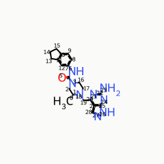 C[C@H]1CN(C(=O)Nc2ccc3c(c2)CCC3)CCN1Cc1nc(N)nc2[nH]ncc12